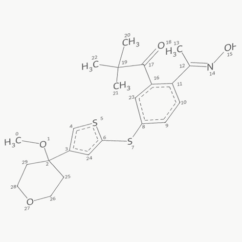 COC1(c2csc(Sc3ccc(/C(C)=N/O)c(C(=O)C(C)(C)C)c3)c2)CCOCC1